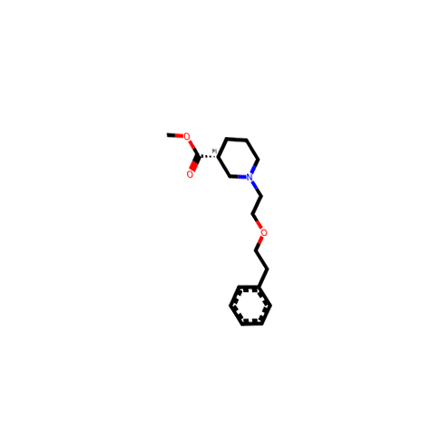 COC(=O)[C@@H]1CCCN(CCOCCc2ccccc2)C1